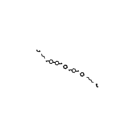 C=CC(=O)OCCCCCCOc1ccc(OC(=O)C2CCC(C(=O)Oc3ccc(OC(=O)C4CCC(C5CCC(C(=O)OCCCCOC(=O)C=C)CC5)CC4)cc3)CC2)cc1